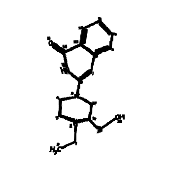 CCN1CCN(c2cc3ccccc3c(=O)[nH]2)CC1CO